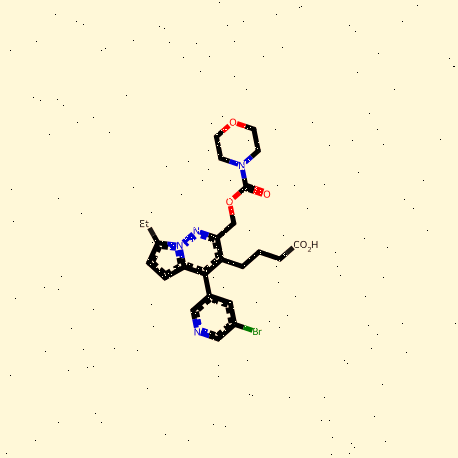 CCc1ccc2c(-c3cncc(Br)c3)c(CCCC(=O)O)c(COC(=O)N3CCOCC3)nn12